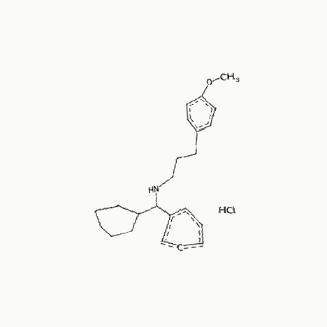 COc1ccc(CCCNC(c2ccccc2)C2CCCCC2)cc1.Cl